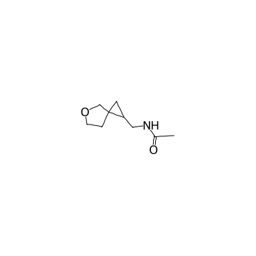 CC(=O)NCC1CC12CCOC2